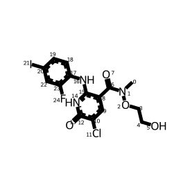 CN(OCCO)C(=O)c1cc(Cl)c(=O)[nH]c1Nc1ccc(I)cc1F